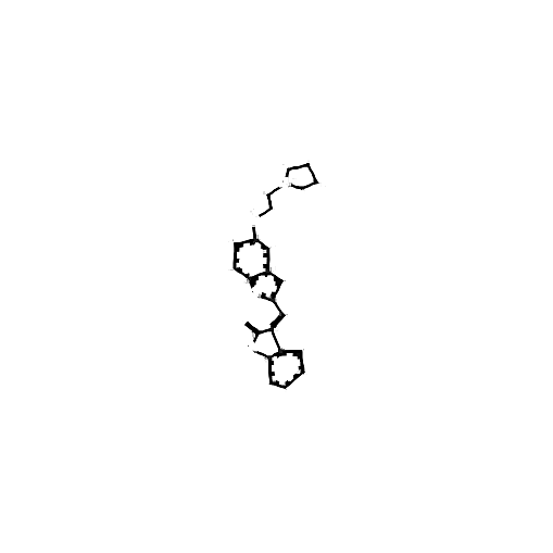 O=C1Nc2ccccc2C1=Cc1cc2cc(OCCN3CCCC3)ccc2[nH]1